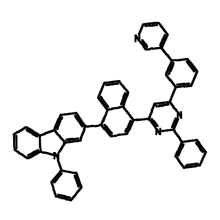 c1ccc(-c2nc(-c3cccc(-c4cccnc4)c3)cc(-c3ccc(-c4ccc5c6ccccc6n(-c6ccccc6)c5c4)c4ccccc34)n2)cc1